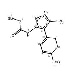 Cc1[nH]nc(NC(=O)OC(C)(C)C)c1C1=CC=C(C=O)CC1